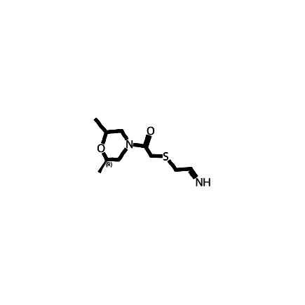 CC1CN(C(=O)CSCC=N)C[C@@H](C)O1